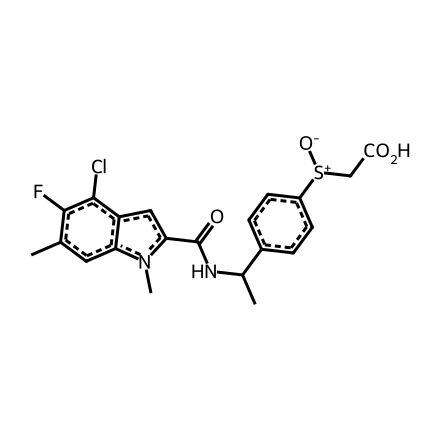 Cc1cc2c(cc(C(=O)NC(C)c3ccc([S+]([O-])CC(=O)O)cc3)n2C)c(Cl)c1F